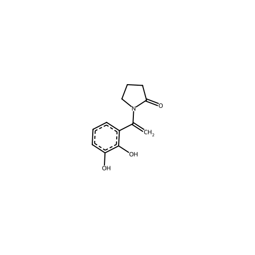 C=C(c1cccc(O)c1O)N1CCCC1=O